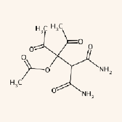 CC(=O)OC(C(C)=O)(C(C)=O)C(C(N)=O)C(N)=O